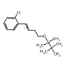 CC(C)(C)[Si](C)(C)OCC/C=C/c1ccccc1Cl